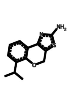 CC(C)c1cccc2c1OCc1sc(N)nc1-2